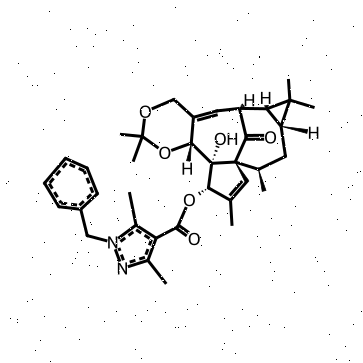 CC1=C[C@]23C(=O)[C@@H](C=C4COC(C)(C)O[C@H]4[C@]2(O)[C@H]1OC(=O)c1c(C)nn(Cc2ccccc2)c1C)[C@H]1[C@@H](C[C@H]3C)C1(C)C